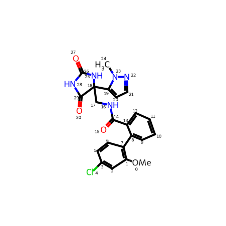 COc1cc(Cl)ccc1-c1ccccc1C(=O)NCC1(c2ccnn2C)NC(=O)NC1=O